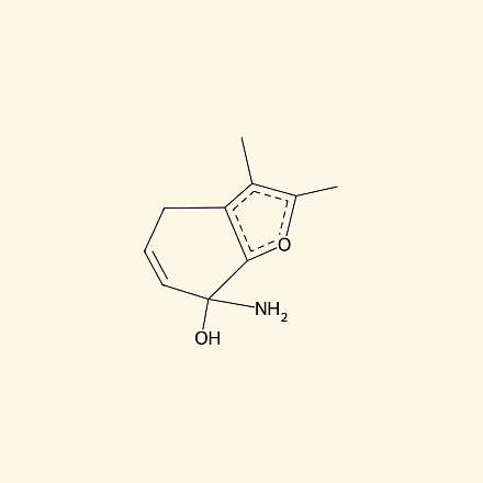 Cc1oc2c(c1C)CC=CC2(N)O